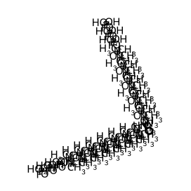 CN(C)C(=O)N(C)C.CN(C)C(=O)N(C)C.CN(C)C(=O)N(C)C.CN(C)C(=O)N(C)C.CN(C)C(=O)N(C)C.CN(C)C(=O)N(C)C.CN(C)C(=O)N(C)C.CN(C)C(=O)N(C)C.CN(C)C(=O)N(C)C.CN(C)C(=O)N(C)C.CN(C)C(=O)N(C)C.CN(C)C(=O)N(C)C.O=P(O)(O)F.O=P(O)(O)F.O=P(O)(O)F.O=P(O)(O)F.O=P(O)(O)F.O=P(O)(O)F.c1ccc2[nH]nnc2c1